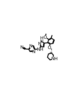 COc1c(C)ccc(OC[C@H]2CCCNC2)c1-c1cc(Nc2cnc(C#N)cn2)n[nH]1